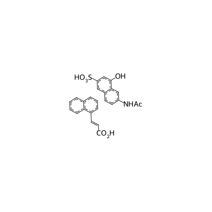 CC(=O)Nc1ccc2cc(S(=O)(=O)O)cc(O)c2c1.O=C(O)C=Cc1cccc2ccccc12